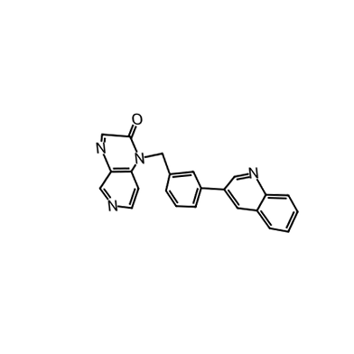 O=c1cnc2cnccc2n1Cc1cccc(-c2cnc3ccccc3c2)c1